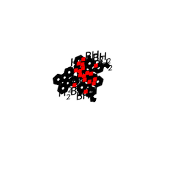 Bc1c(B)c(O)c(C2(c3ccc(C=C)cc3)c3ccccc3-c3ccc(N(c4ccccc4)c4ccc5c(c4)C4(c6ccccc6-c6ccc(N(c7ccccc7)c7ccc8c(c7)C(c7ccc(C=C)cc7)(c7c(B)c(B)c(B)c(O)c7O)c7ccccc7-8)cc64)c4ccccc4-5)cc32)c(O)c1B